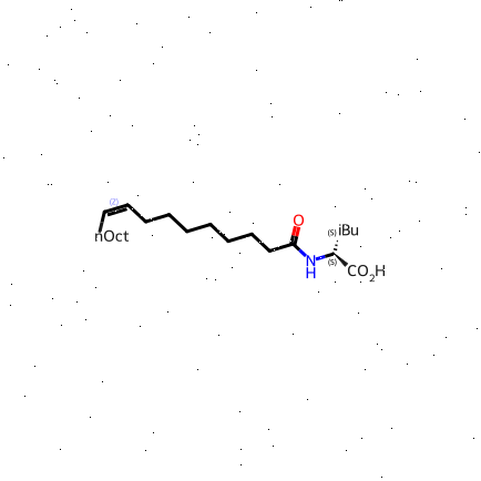 CCCCCCCC/C=C\CCCCCCCC(=O)N[C@H](C(=O)O)[C@@H](C)CC